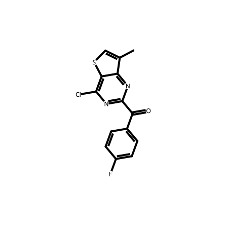 Cc1csc2c(Cl)nc(C(=O)c3ccc(F)cc3)nc12